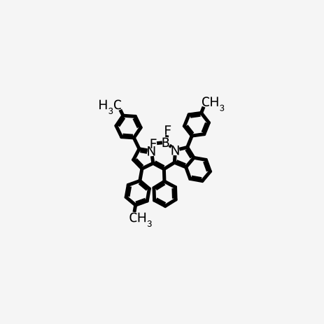 Cc1ccc(C2=CC(c3ccc(C)cc3)=N/C2=C(/c2ccccc2)c2c3ccccc3c(-c3ccc(C)cc3)n2B(F)F)cc1